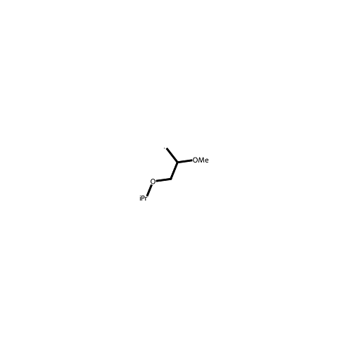 [CH2]C(COC(C)C)OC